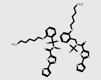 [2H]C(C)(C)N(Cc1ccccc1OCCCCCC(=O)O)C(=O)c1cnc(-c2ccco2)o1.[2H]C([2H])(c1ccccc1OCCCCCC(=O)O)N(C(=O)c1cnc(-c2ccco2)o1)C(C)C